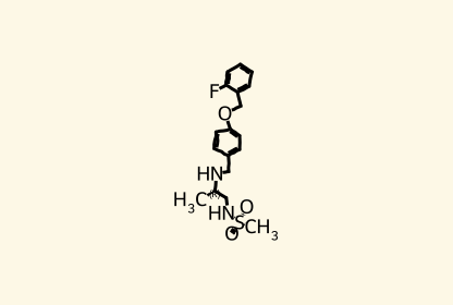 C[C@H](CNS(C)(=O)=O)NCc1ccc(OCc2ccccc2F)cc1